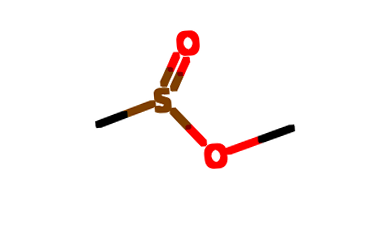 COS(C)=O